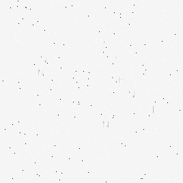 Cn1cc(-c2ccc(Nc3cc(-n4cccc4)cc(Cl)n3)c([N+](=O)[O-])c2)cn1